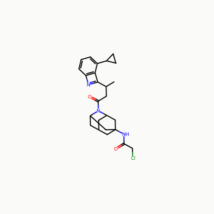 CC(CC(=O)N1C2CC3CC1CC(NC(=O)CCl)(C3)C2)C1=Nc2cccc(C3CC3)c21